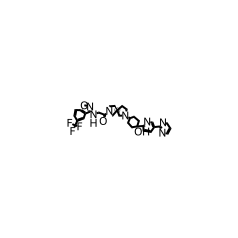 O=C(CNc1noc2ccc(C(F)(F)F)cc12)N1CC[C@]2(CCN(C3CCC(O)(c4ccc(-c5ncccn5)cn4)CC3)C2)C1